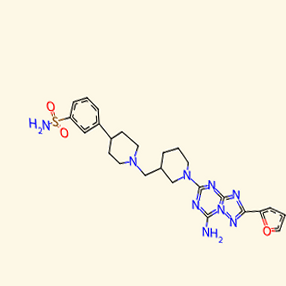 Nc1nc(N2CCCC(CN3CCC(c4cccc(S(N)(=O)=O)c4)CC3)C2)nc2nc(-c3ccco3)nn12